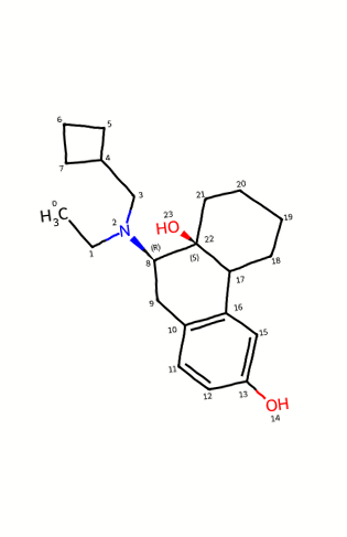 CCN(CC1CCC1)[C@@H]1Cc2ccc(O)cc2C2CCCC[C@]21O